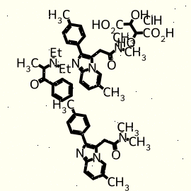 CCN(CC)C(C)C(=O)c1ccccc1.Cc1ccc(-c2nc3ccc(C)cn3c2CC(=O)N(C)C)cc1.Cc1ccc(-c2nc3ccc(C)cn3c2CC(=O)N(C)C)cc1.Cl.O=C(O)C(O)C(O)C(=O)O